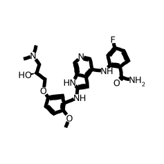 COc1ccc(OC[C@H](O)CN(C)C)cc1Nc1cc2c(Nc3cc(F)ccc3C(N)=O)cncc2[nH]1